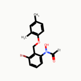 CCC(=O)N(O)c1cccc(Br)c1COc1ccc(C)cc1C